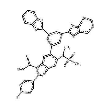 CNC(=O)c1c(-c2ccc(F)cc2)oc2cc(N(C)S(C)(=O)=O)c(-c3cc(-c4nc5ccccc5s4)cc(-c4nc5ccccc5s4)c3)cc12